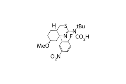 CO[C@H]1CC[C@H]2CSC(N(C(=O)O)C(C)(C)C)=N[C@@]2(c2cc([N+](=O)[O-])ccc2F)C1